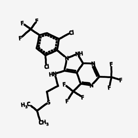 CC(C)SCCNC1=C2C(C(F)(F)F)=NC(C(F)(F)F)=NC2NN1c1c(Cl)cc(C(F)(F)F)cc1Cl